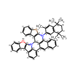 Cc1cc2c(cc1N1c3sc4ccccc4c3B3c4c(cc5ccccc5c41)-c1cccc4c5c6ccccc6oc5n3c14)C(C)(C)CCC2(C)C